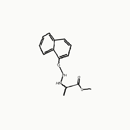 COC(=O)C(C)NPOc1cccc2ccccc12